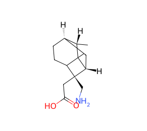 C[C@H]1[C@@H]2CCC3C1(C)[C@H](C2)[C@]3(CN)CC(=O)O